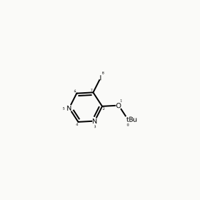 CC(C)(C)Oc1ncncc1I